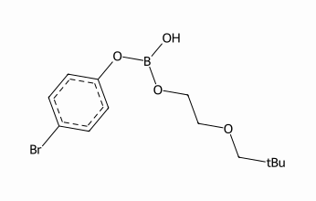 CC(C)(C)COCCOB(O)Oc1ccc(Br)cc1